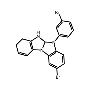 Brc1cccc(N2c3ccc(Br)cc3N3C4=C(CCC=C4)NC32)c1